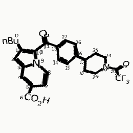 CCCCc1cc2cc(C(=O)O)ccn2c1C(=O)c1ccc(C2CCN(C(=O)C(F)(F)F)CC2)cc1